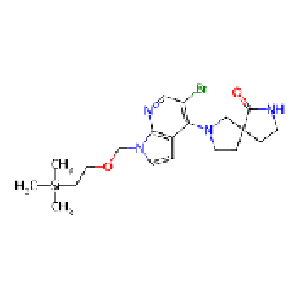 C[Si](C)(C)CCOCn1ccc2c(N3CCC4(CCNC4=O)C3)c(Br)cnc21